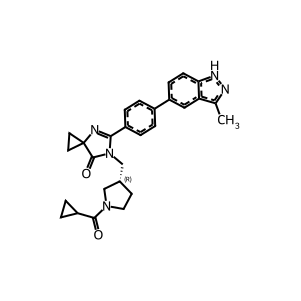 Cc1n[nH]c2ccc(-c3ccc(C4=NC5(CC5)C(=O)N4C[C@@H]4CCN(C(=O)C5CC5)C4)cc3)cc12